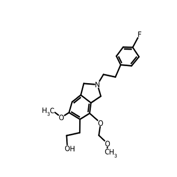 COCOc1c2c(cc(OC)c1CCO)CN(CCc1ccc(F)cc1)C2